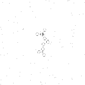 c1ccc(-c2nc(-c3ccccc3)nc(-c3ccc4c(c3)oc3cccc(-c5cccc(-c6ccc7c(c6)c6ccccc6n7-c6ccccc6)c5)c34)n2)cc1